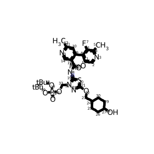 COc1cnc(C)c(F)c1-c1cc(C)ncc1C(=O)/N=c1\sc(OCC2CCC(O)CC2)nn1COP(=O)(OC(C)(C)C)OC(C)(C)C